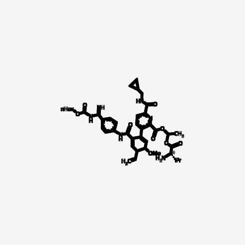 C=CC1C=C(C(=O)Nc2ccc(C(=N)NC(=O)OCCCCCC)cc2)C(c2ccc(C(=O)NCC3CC3)nc2C(=O)OC(C)OC(=O)[C@@H](N)C(C)C)=CC1OC